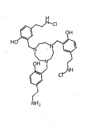 NCCc1ccc(O)c(CN2CCN(Cc3cc(CCNCl)ccc3O)CCN(Cc3cc(CCNCl)ccc3O)CC2)c1